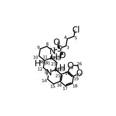 O=S(=O)(CCCCl)N1CCC[C@@H]2CN3CCc4ccc5c(c4[C@@H]3C[C@@H]21)OCO5